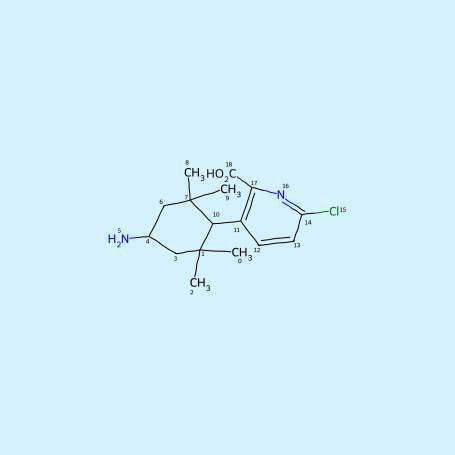 CC1(C)CC(N)CC(C)(C)C1c1ccc(Cl)nc1C(=O)O